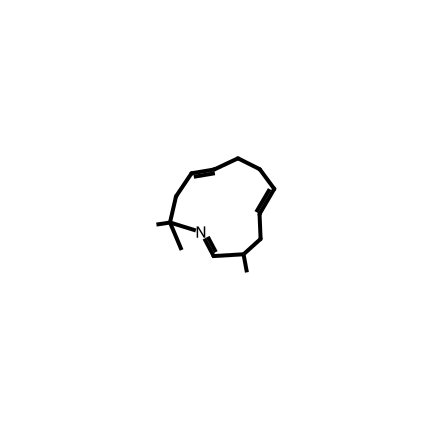 CC1/C=N/C(C)(C)C/C=C/CC/C=C/C1